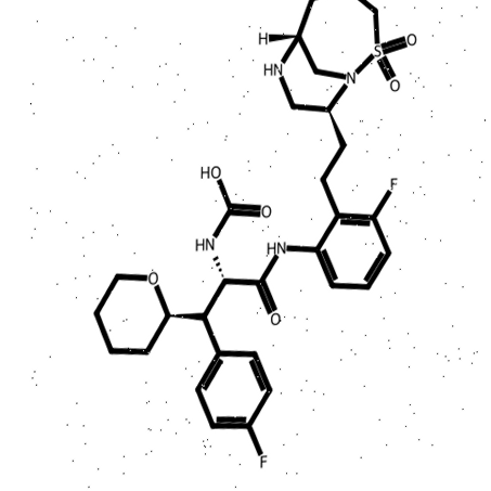 O=C(O)N[C@H](C(=O)Nc1cccc(F)c1CC[C@H]1CN[C@@H]2CCCS(=O)(=O)N1C2)C(c1ccc(F)cc1)[C@H]1CCCCO1